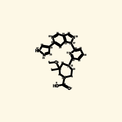 COC1(C)CN(C(=O)O)CCN(c2cccc(-n3ncc4cnc(-c5cn[nH]c5)cc43)n2)C1